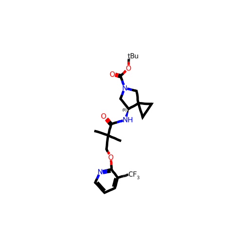 CC(C)(C)OC(=O)N1C[C@H](NC(=O)C(C)(C)COc2ncccc2C(F)(F)F)C2(CC2)C1